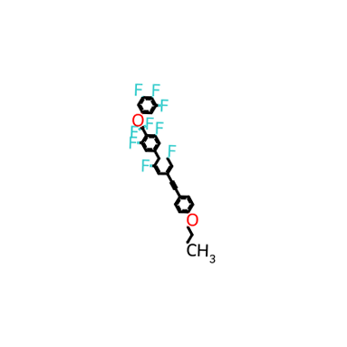 CCCCOc1ccc(C#CC(=C/CF)/C=C(/F)Cc2cc(F)c(C(F)(F)Oc3cc(F)c(F)c(F)c3)c(F)c2)cc1